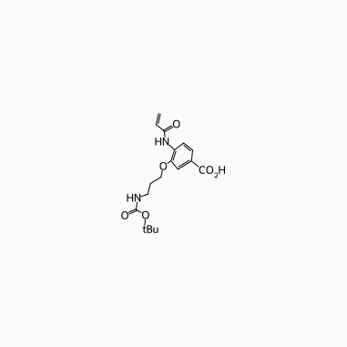 C=CC(=O)Nc1ccc(C(=O)O)cc1OCCCNC(=O)OC(C)(C)C